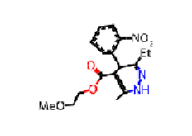 CCC1=NNC(C)=C(C(=O)OCCOC)C1c1ccccc1[N+](=O)[O-]